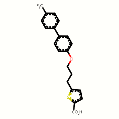 O=C(O)c1ccc(CCCOc2ccc(-c3ccc(C(F)(F)F)cc3)cc2)s1